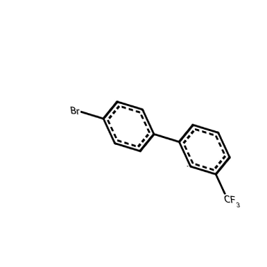 FC(F)(F)c1[c]c(-c2ccc(Br)cc2)ccc1